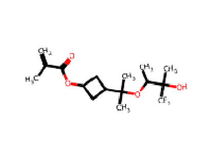 C=C(C)C(=O)OC1CC(C(C)(C)OC(C)C(C)(O)C(F)(F)F)C1